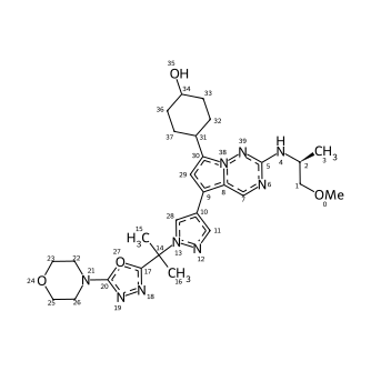 COC[C@H](C)Nc1ncc2c(-c3cnn(C(C)(C)c4nnc(N5CCOCC5)o4)c3)cc(C3CCC(O)CC3)n2n1